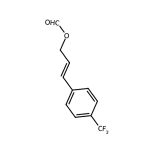 O=COC/C=C/c1ccc(C(F)(F)F)cc1